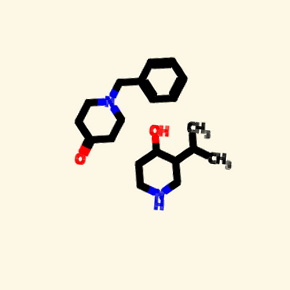 CC(C)C1CNCCC1O.O=C1CCN(Cc2ccccc2)CC1